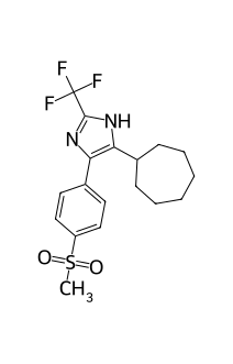 CS(=O)(=O)c1ccc(-c2nc(C(F)(F)F)[nH]c2C2CCCCCC2)cc1